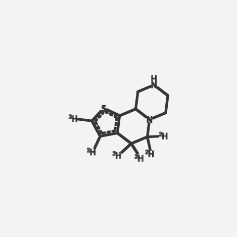 [2H]c1sc2c(c1[2H])C([2H])([2H])C([2H])([2H])N1CCNCC21